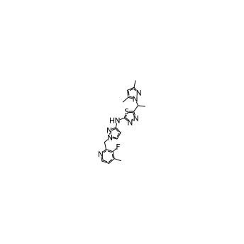 Cc1cc(C)n(C(C)c2nnc(Nc3ccn(Cc4nccc(C)c4F)n3)s2)n1